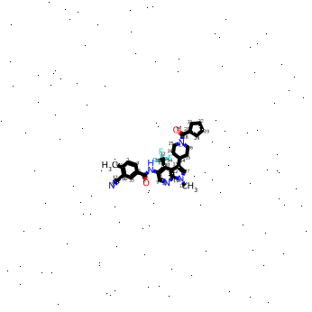 Cc1ccc(C(=O)Nc2cnc3c(c(C4CCN(C(=O)C5CCCC5)CC4)cn3C)c2C(F)(F)F)cc1C#N